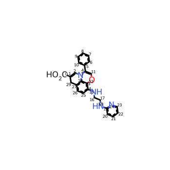 O=C(O)C1=CN2C(c3ccccc3)=COc3c(NCCNc4ccccn4)ccc(c32)C1